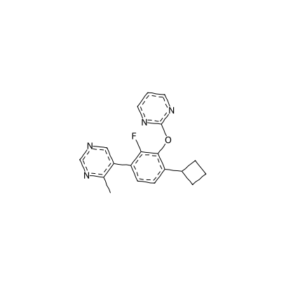 Cc1ncncc1-c1ccc(C2CCC2)c(Oc2ncccn2)c1F